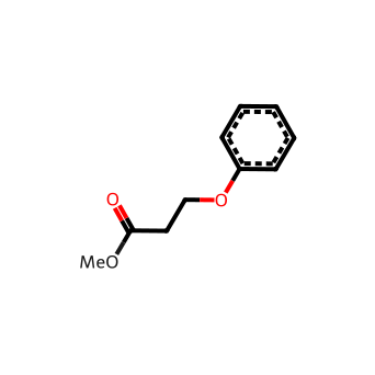 [CH2]OC(=O)CCOc1ccccc1